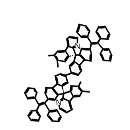 Cc1cc2c(cc1C)[C@@]1(c3cc(C(=C(c4ccccc4)c4ccccc4)c4ccccc4)ccc3-c3ccc(-c4ccc5c(c4)[C@@]4(c6cc(C(=C(c7ccccc7)c7ccccc7)c7ccccc7)ccc6-5)c5cc(C)c(C)cc5-c5cccnc54)cc31)c1ncccc1-2